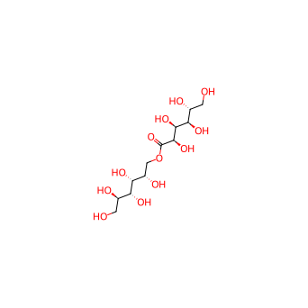 O=C(OC[C@H](O)[C@@H](O)[C@H](O)[C@H](O)CO)[C@H](O)[C@@H](O)[C@H](O)[C@H](O)CO